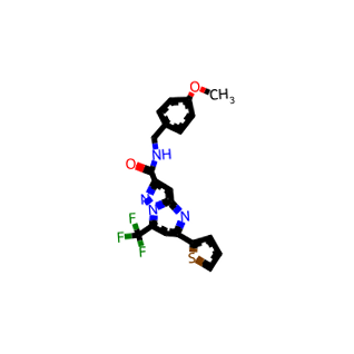 COc1ccc(CNC(=O)c2cc3nc(-c4cccs4)cc(C(F)(F)F)n3n2)cc1